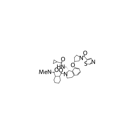 CNC(=O)C1CCCCC1C(=O)N1CCc2cccc(OC3CCN(C(=O)c4cncs4)C3)c2[C@H]1CNC(=O)C1CC1